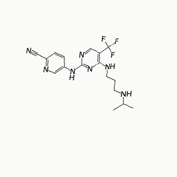 CC(C)NCCCNc1nc(Nc2ccc(C#N)nc2)ncc1C(F)(F)F